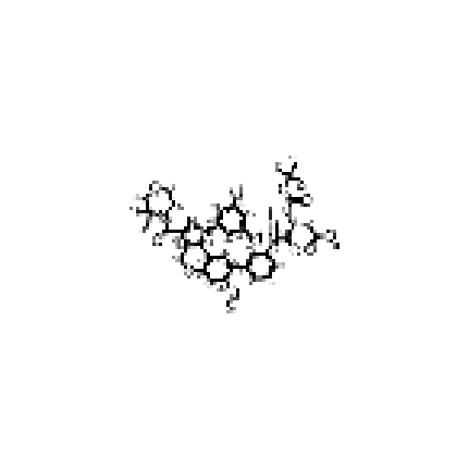 COC(=O)C[C@@H](NC(=O)OC(C)(C)C)C(=O)Nc1cccc(-c2cc3c(cc2OC)OCc2c(C(=O)N4CCOCC4(C)C)nn(-c4cc(Cl)cc(Cl)c4)c2-3)c1